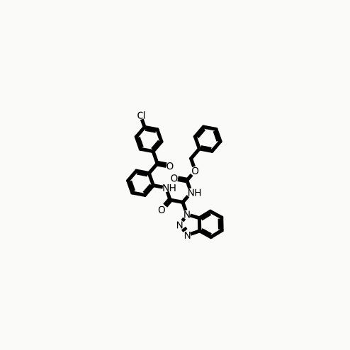 O=C(NC(C(=O)Nc1ccccc1C(=O)c1ccc(Cl)cc1)n1nnc2ccccc21)OCc1ccccc1